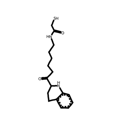 O=C(CS)NCCCCCC(=O)C1CCc2ccccc2N1